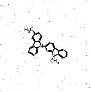 Cc1ccc2c(c1)c1ccccc1n2-c1ccc2c3ccccc3n(C)c2c1